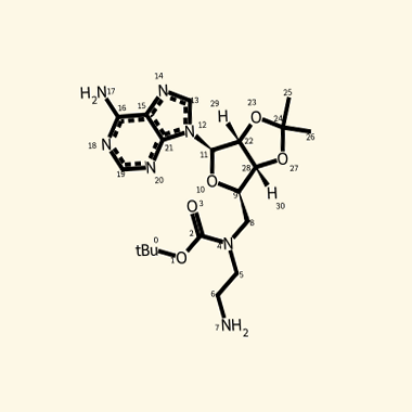 CC(C)(C)OC(=O)N(CCN)C[C@H]1O[C@@H](n2cnc3c(N)ncnc32)[C@@H]2OC(C)(C)O[C@@H]21